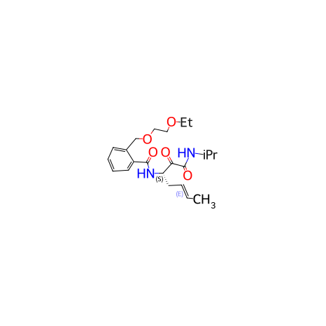 C/C=C/C[C@H](NC(=O)c1ccccc1COCCOCC)C(=O)C(=O)NC(C)C